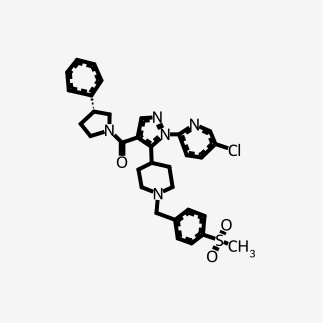 CS(=O)(=O)c1ccc(CN2CCC(c3c(C(=O)N4CC[C@H](c5ccccc5)C4)cnn3-c3ccc(Cl)cn3)CC2)cc1